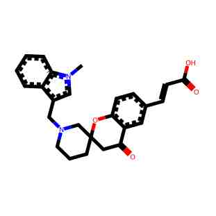 Cn1cc(CN2CCCC3(CC(=O)c4cc(/C=C/C(=O)O)ccc4O3)C2)c2ccccc21